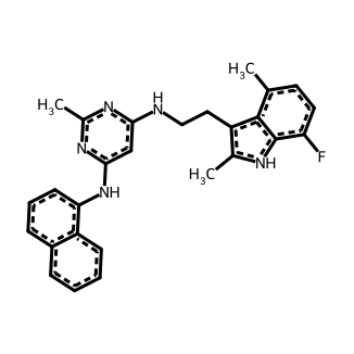 Cc1nc(NCCc2c(C)[nH]c3c(F)ccc(C)c23)cc(Nc2cccc3ccccc23)n1